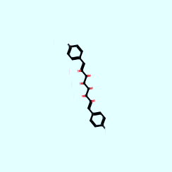 CCCc1ccc(C=C(O)C(O)C(O)C(O)C(O)C(O)=Cc2ccc(CCC)cc2)cc1